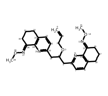 C=CCOC(Cc1ccc2c(n1)/C(=N/OC)CCC2)Cc1ccc2c(n1)/C(=N/OC)CCC2